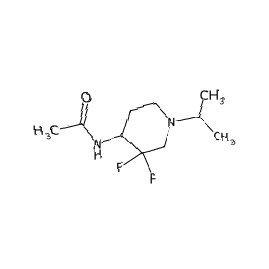 CC(=O)NC1CCN(C(C)C)CC1(F)F